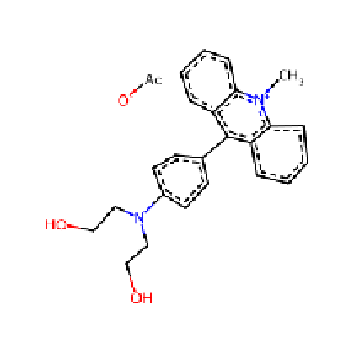 CC(=O)[O-].C[n+]1c2ccccc2c(-c2ccc(N(CCO)CCO)cc2)c2ccccc21